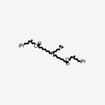 CC(C)CCCC(C)CCOC(=O)CCCCCCCN(CCCCCCCC(=O)OCCC(C)CCCC(C)C)CCCCN(C)C